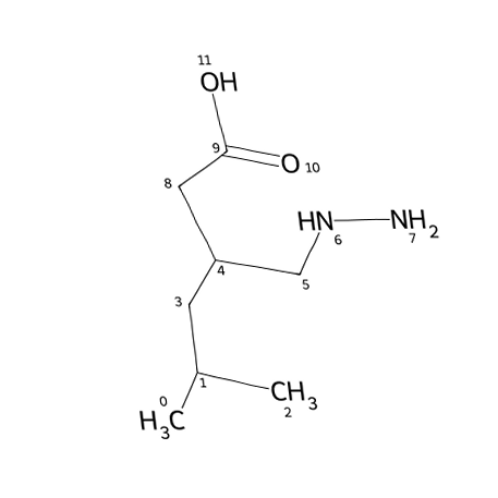 CC(C)CC(CNN)CC(=O)O